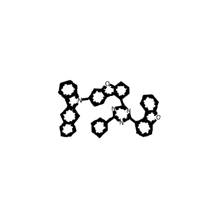 c1ccc(-c2nc(-c3cccc4oc5ccccc5c34)nc(-c3cccc4oc5cc(-n6c7ccccc7c7cc8ccccc8cc76)ccc5c34)n2)cc1